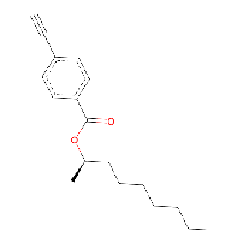 C#Cc1ccc(C(=O)O[C@H](C)CCCCCCC)cc1